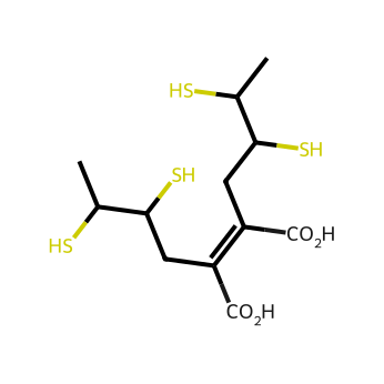 CC(S)C(S)C/C(C(=O)O)=C(\CC(S)C(C)S)C(=O)O